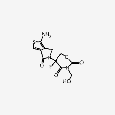 Nc1scc2c1CN(C1(F)CCC(=O)N(CO)C1=O)C2=O